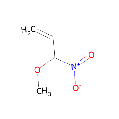 C=CC(OC)[N+](=O)[O-]